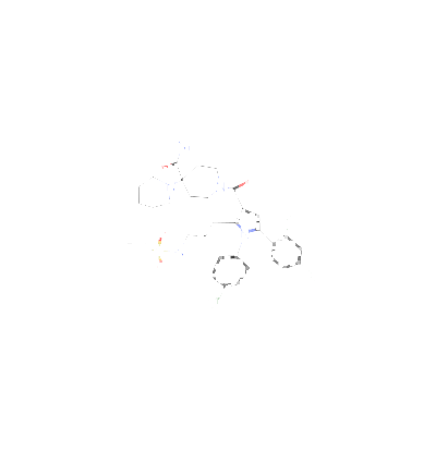 NC(=O)C1(N2CCCCC2)CCN(C(=O)c2cc(-c3ccc(Cl)cc3Cl)n(-c3ccc(Cl)cc3)c2CCCNS(=O)(=O)C(F)(F)F)CC1